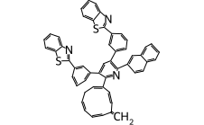 C=C1/C=C\C=C/C/C=C(c2nc(-c3ccc4ccccc4c3)c(-c3cccc(-c4nc5ccccc5s4)c3)cc2-c2cccc(-c3nc4ccccc4s3)c2)\C=C/1